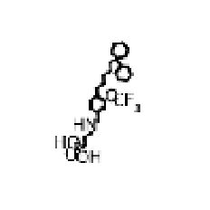 O=P(O)(O)CCCNCc1ccc(CCCCCC2(c3ccccc3)CCCCC2)c(OC(F)(F)F)c1